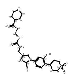 O=C(NC[C@H]1CN(c2ccc(C3CCS(=O)(=O)CC3)c(F)c2)C(=O)O1)OCOC(=O)C1CCOCC1